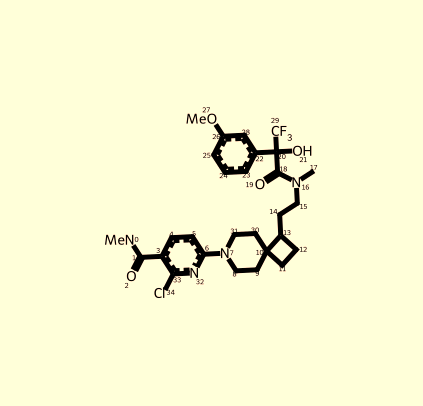 CNC(=O)c1ccc(N2CCC3(CCC3CCN(C)C(=O)C(O)(c3cccc(OC)c3)C(F)(F)F)CC2)nc1Cl